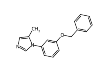 Cc1cncn1-c1cccc(OCc2ccccc2)c1